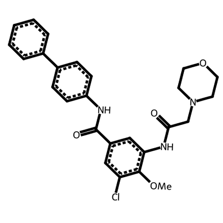 COc1c(Cl)cc(C(=O)Nc2ccc(-c3ccccc3)cc2)cc1NC(=O)CN1CCOCC1